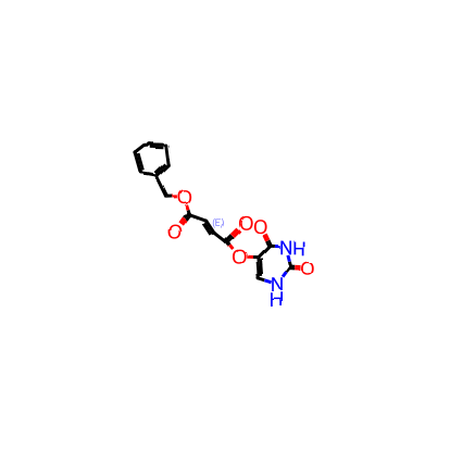 O=C(/C=C/C(=O)Oc1c[nH]c(=O)[nH]c1=O)OCc1ccccc1